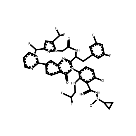 N=C(N[S+]([O-])C1CC1)c1c(Cl)ccc(-n2c(C(Cc3cc(F)cc(F)c3)NC(=O)Cn3nc(C(F)F)cc3C(F)F)nc3cc(-c4ncccn4)ccc3c2=O)c1NCC(F)F